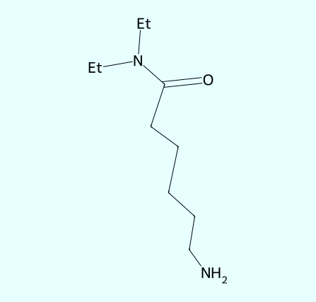 CCN(CC)C(=O)CCCCCN